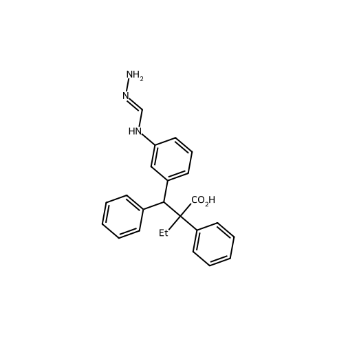 CCC(C(=O)O)(c1ccccc1)C(c1ccccc1)c1cccc(NC=NN)c1